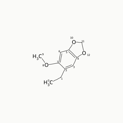 CCc1cc2c(cc1OC)OCO2